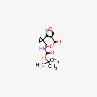 CC(C)(C)OC(=O)NCC1(c2nocc2C(=O)O)CC1